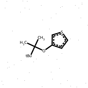 CC(C)(C)C(C)(C)Oc1ccsc1